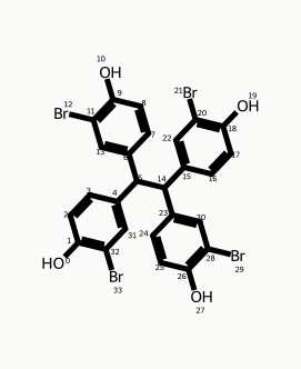 Oc1ccc(C(c2ccc(O)c(Br)c2)C(c2ccc(O)c(Br)c2)c2ccc(O)c(Br)c2)cc1Br